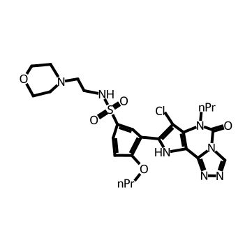 CCCOc1ccc(S(=O)(=O)NCCN2CCOCC2)cc1-c1[nH]c2c(c1Cl)n(CCC)c(=O)n1cnnc21